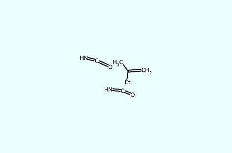 C=C(C)CC.N=C=O.N=C=O